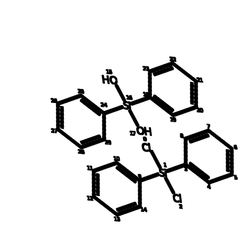 Cl[Si](Cl)(c1ccccc1)c1ccccc1.O[Si](O)(c1ccccc1)c1ccccc1